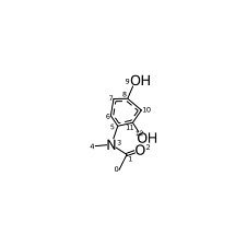 CC(=O)N(C)c1ccc(O)cc1O